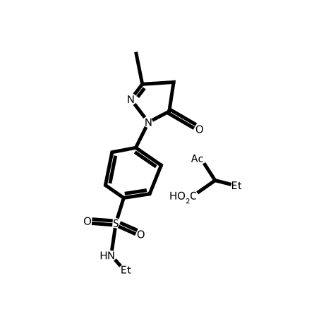 CCC(C(C)=O)C(=O)O.CCNS(=O)(=O)c1ccc(N2N=C(C)CC2=O)cc1